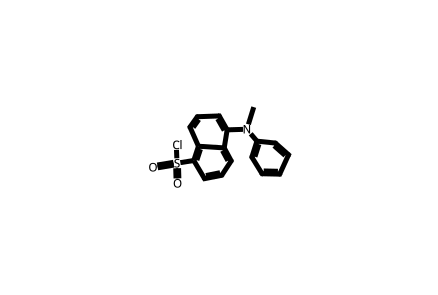 CN(c1ccccc1)c1cccc2c(S(=O)(=O)Cl)cccc12